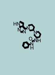 O=C(Nc1ccccc1)N[C@H]1CCCN(C2CCCN(c3ncnc4[nH]ccc34)C2)C1